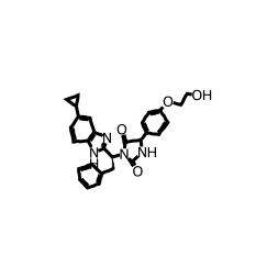 O=C1NC(c2ccc(OCCO)cc2)C(=O)N1[C@@H](Cc1ccccc1)c1nc2cc(C3CC3)ccc2[nH]1